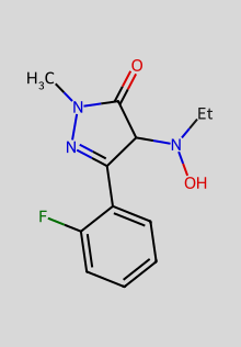 CCN(O)C1C(=O)N(C)N=C1c1ccccc1F